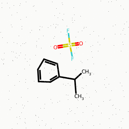 CC(C)c1ccccc1.O=S(=O)(F)F